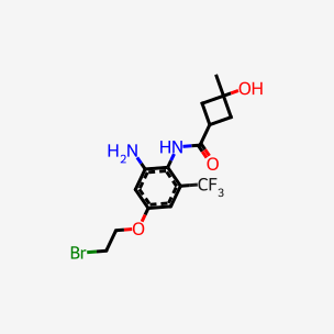 CC1(O)CC(C(=O)Nc2c(N)cc(OCCBr)cc2C(F)(F)F)C1